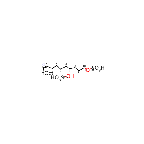 CCCCCCCC/C=C\CCCCCCCCOS(=O)(=O)O.O=S(=O)(O)O